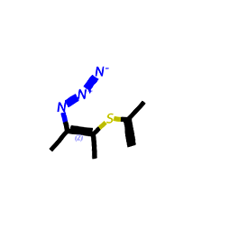 C=C(C)S/C(C)=C(/C)N=[N+]=[N-]